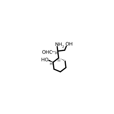 N[C@@](C=O)(CO)[C@@H]1CCCC[C@H]1O